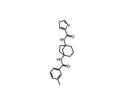 Cc1cccc(C(=O)NC23CCCC(NC(=O)c4cscn4)(CC2)C3)c1